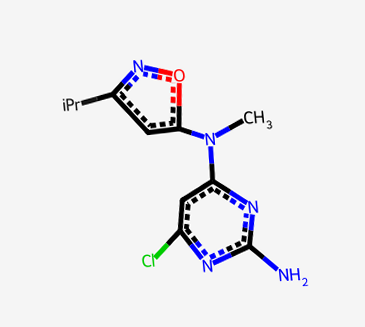 CC(C)c1cc(N(C)c2cc(Cl)nc(N)n2)on1